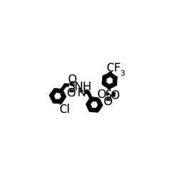 O=S(=O)(Cc1cccc(Cl)c1)NN=Cc1ccccc1OS(=O)(=O)c1ccc(C(F)(F)F)cc1